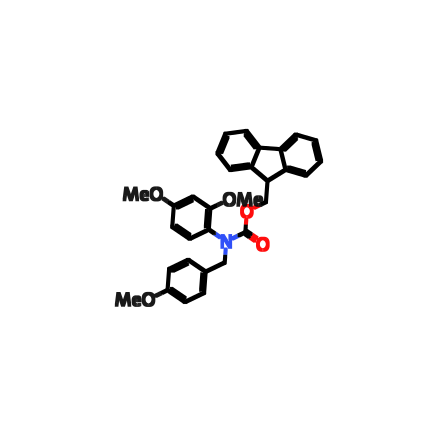 [CH2]Oc1ccc(CN(C(=O)OCC2c3ccccc3-c3ccccc32)c2ccc(OC)cc2OC)cc1